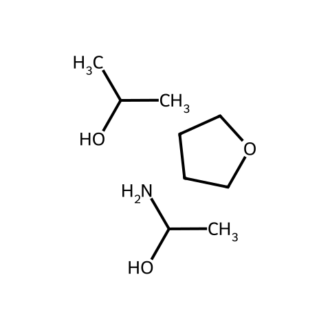 C1CCOC1.CC(C)O.CC(N)O